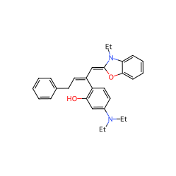 CCN(CC)c1ccc(C(=C\Cc2ccccc2)/C=C2\Oc3ccccc3N2CC)c(O)c1